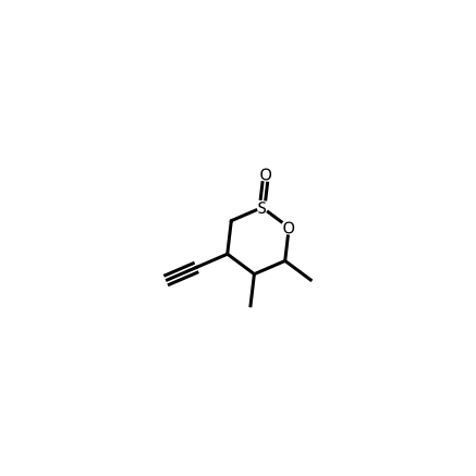 C#CC1CS(=O)OC(C)C1C